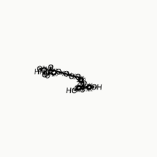 O=C1CCC(N2C(=O)C3=CCC(OCCCOCCOCCOc4ccc(Oc5c(-c6ccc(O)cc6)sc6cc(O)ccc56)cc4)C=C3C2=O)C(=O)N1